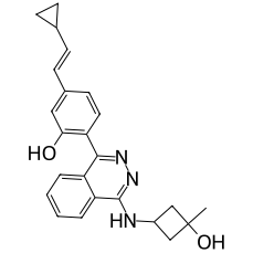 CC1(O)CC(Nc2nnc(-c3ccc(/C=C/C4CC4)cc3O)c3ccccc23)C1